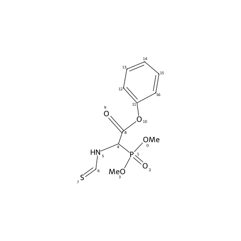 COP(=O)(OC)C(NC=S)C(=O)Oc1ccccc1